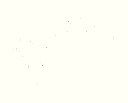 CCCn1cnc(-c2ccc(-c3nc(Cl)nc4[nH]cnc34)cc2)c1